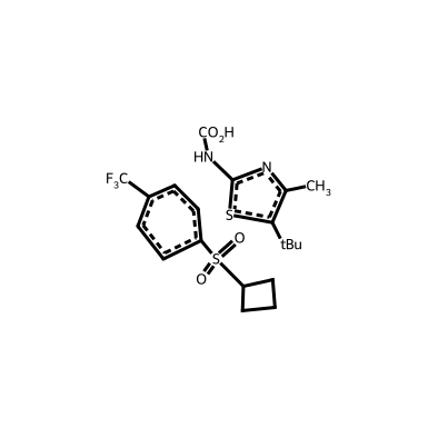 Cc1nc(NC(=O)O)sc1C(C)(C)C.O=S(=O)(c1ccc(C(F)(F)F)cc1)C1CCC1